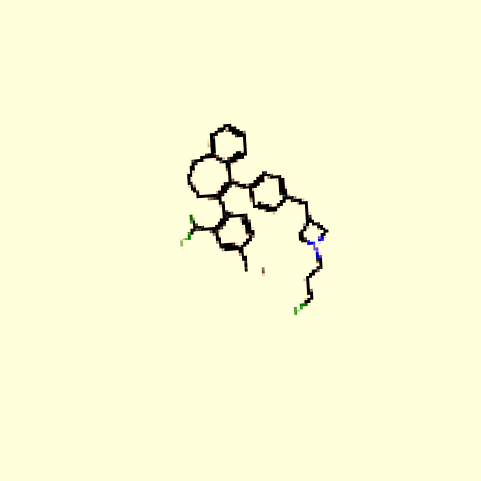 Cc1ccc(C2=C(c3ccc(CC4CN(CCCF)C4)cc3)c3ccccc3CCC2)c(C(F)F)c1